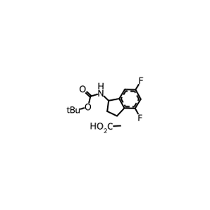 CC(=O)O.CC(C)(C)OC(=O)NC1CCc2c(F)cc(F)cc21